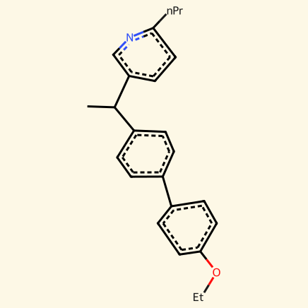 CCCc1ccc(C(C)c2ccc(-c3ccc(OCC)cc3)cc2)cn1